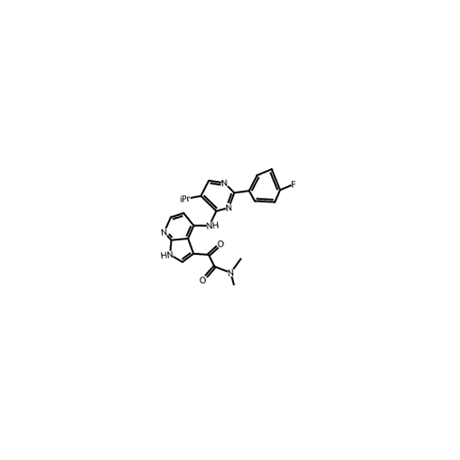 CC(C)c1cnc(-c2ccc(F)cc2)nc1Nc1ccnc2[nH]cc(C(=O)C(=O)N(C)C)c12